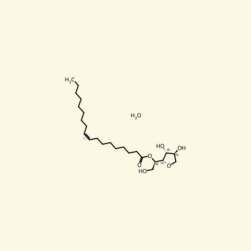 CCCCCCCC/C=C\CCCCCCCC(=O)O[C@H](CO)[C@H]1OC[C@H](O)[C@H]1O.O